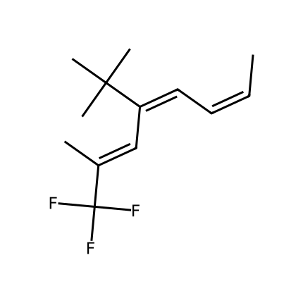 C\C=C/C=C(\C=C(/C)C(F)(F)F)C(C)(C)C